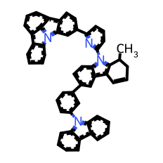 CC1CC=Cc2c1n(-c1cccc(-c3ccc4c5cccc6c7ccccc7n(c4c3)c65)n1)c1ccc(-c3cccc(-n4c5ccccc5c5ccccc54)c3)cc21